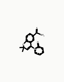 CC1(C)C=C(n2ccccc2=O)c2cc(C(N)=S)ccc2O1